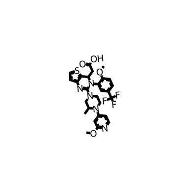 COc1cc(N2CCN(C3=Nc4ccsc4C(CC(=O)O)N3c3cc(C(F)(F)F)ccc3OC)CC2C)ccn1